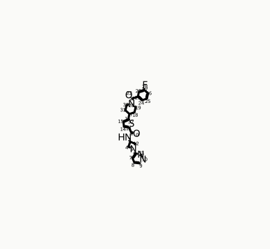 O=C(NC1CN(c2cccnn2)C1)c1ccc(C2CCN(C(=O)c3cccc(F)c3)CC2)s1